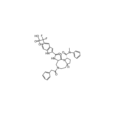 CN(C(=O)[C@@H]1CC[C@@H]2CCN(C(=O)Cc3ccccc3)CC(NC(=O)c3cc4cc(C(F)(F)P(=O)(O)O)ccc4[nH]3)C(=O)N21)c1ccccc1